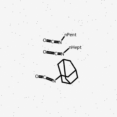 CCCCCCCN=C=O.CCCCCN=C=O.O=C=NC12CC3CC(CC(C3)C1)C2